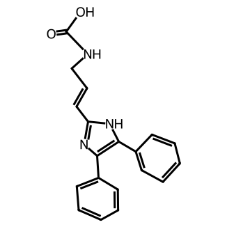 O=C(O)NCC=Cc1nc(-c2ccccc2)c(-c2ccccc2)[nH]1